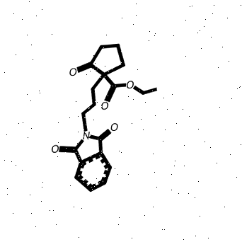 CCOC(=O)C1(CCCN2C(=O)c3ccccc3C2=O)CCCC1=O